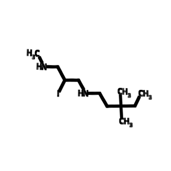 CCC(C)(C)CCNCC(I)CNC